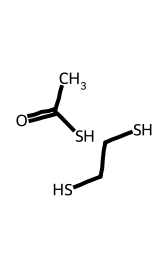 CC(=O)S.SCCS